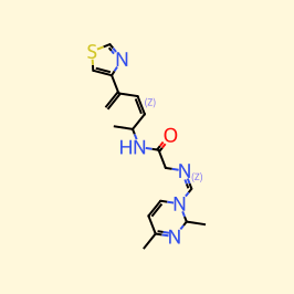 C=C(/C=C\C(C)NC(=O)C/N=C\N1C=CC(C)=NC1C)c1cscn1